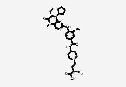 CC[C@@H]1C(=O)N(C)c2cnc(Nc3ccc(C(=O)NC4CCN(CC[C@@H](N)C(=O)O)CC4)cc3OC)nc2N1C1CCCC1